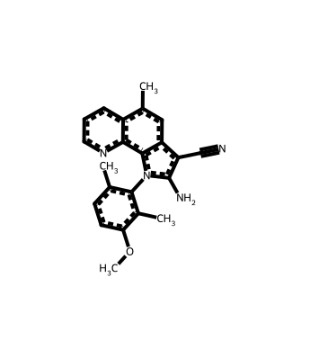 COc1ccc(C)c(-n2c(N)c(C#N)c3cc(C)c4cccnc4c32)c1C